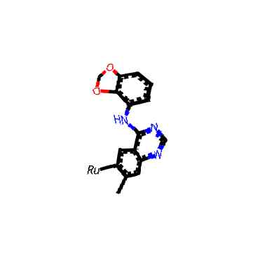 Cc1cc2ncnc(Nc3cccc4c3OCO4)c2c[c]1[Ru]